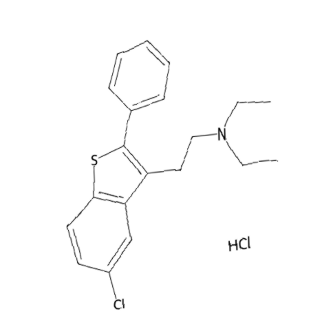 CCN(CC)CCc1c(-c2ccccc2)sc2ccc(Cl)cc12.Cl